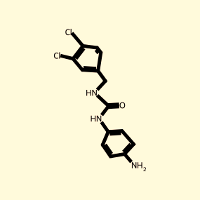 Nc1ccc(NC(=O)NCc2ccc(Cl)c(Cl)c2)cc1